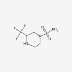 NS(=O)(=O)N1CCNC(C(F)(F)F)C1